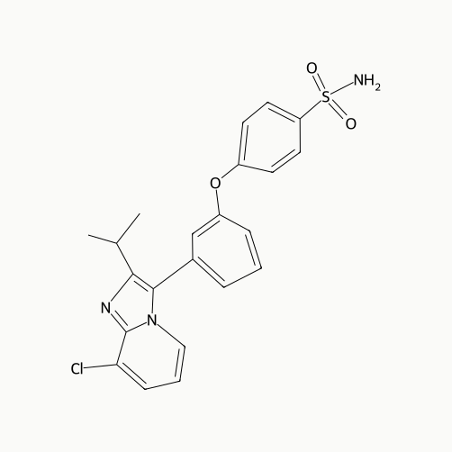 CC(C)c1nc2c(Cl)cccn2c1-c1cccc(Oc2ccc(S(N)(=O)=O)cc2)c1